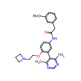 COc1cccc(CC(=O)Nc2ccc(OCCN3CCC3)c(-c3c(C)ncnc3C)c2)c1